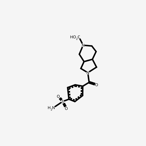 NS(=O)(=O)c1ccc(C(=O)N2CC3CCN(C(=O)O)CC3C2)cc1